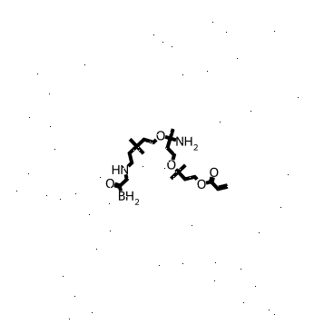 BC(=O)CNCCC(C)(C)CCOC(C)(N)CCOC(C)(C)CCOC(=O)C=C